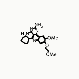 COCCOc1cc2nc(C3CCCCC3)c3c(N)nc(N)nc3c2cc1OC